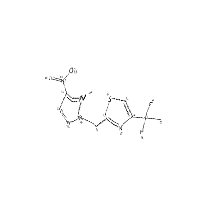 CC(F)(F)c1csc(Cn2ncc([N+](=O)[O-])n2)n1